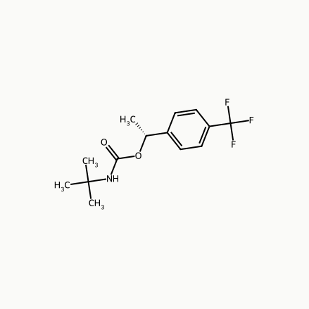 C[C@@H](OC(=O)NC(C)(C)C)c1ccc(C(F)(F)F)cc1